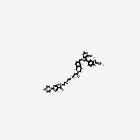 Nc1nc2cc(-c3nn(Cc4ccc5c(c4)CCN(C(=O)CCOCCOCCNC(=O)c4cnc(N6CCNCC6)nc4)C5)c4ncnc(N)c34)ccc2o1